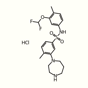 Cc1ccc(NS(=O)(=O)c2ccc(C)c(N3CCCNCC3)c2)cc1OC(F)F.Cl